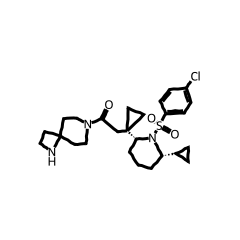 O=C(CC1([C@H]2CCC[C@@H](C3CC3)N2S(=O)(=O)c2ccc(Cl)cc2)CC1)N1CCC2(CCN2)CC1